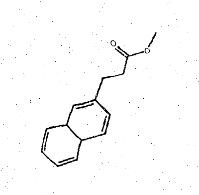 COC(=O)CCC1=CC2C=CC=CC2C=C1